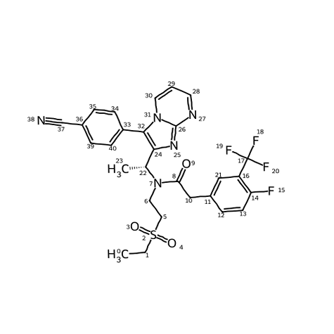 CCS(=O)(=O)CCN(C(=O)Cc1ccc(F)c(C(F)(F)F)c1)[C@H](C)c1nc2ncccn2c1-c1ccc(C#N)cc1